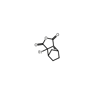 CCC12C(=O)OC(=O)C1=C1CCC2C1